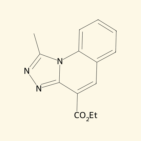 CCOC(=O)c1cc2ccccc2n2c(C)nnc12